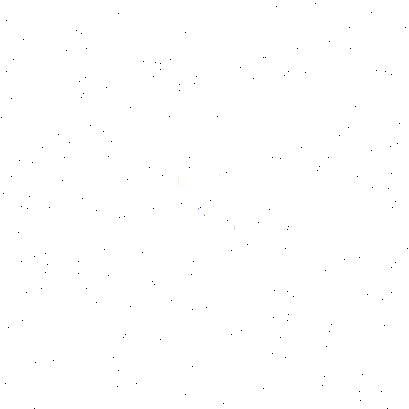 [CH2][CH]N([CH][CH2])C(=O)Cl